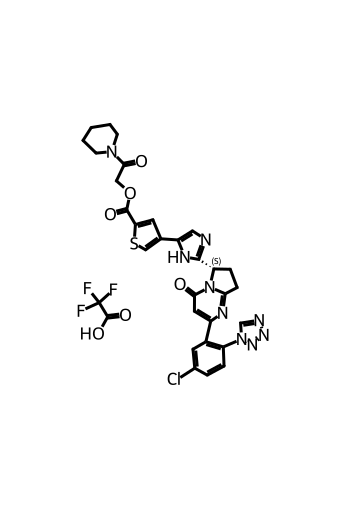 O=C(O)C(F)(F)F.O=C(OCC(=O)N1CCCCC1)c1cc(-c2cnc([C@@H]3CCc4nc(-c5cc(Cl)ccc5-n5cnnn5)cc(=O)n43)[nH]2)cs1